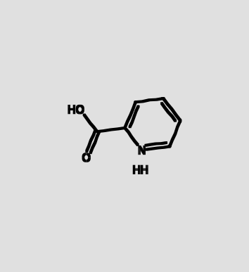 O=C(O)c1ccccn1.[HH]